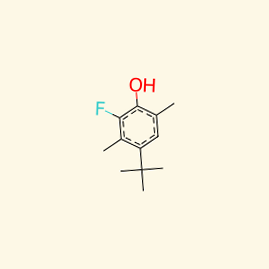 Cc1cc(C(C)(C)C)c(C)c(F)c1O